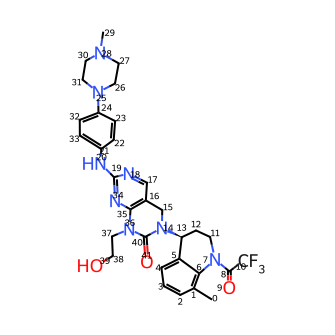 Cc1cccc2c1N(C(=O)C(F)(F)F)CC[C@@H]2N1Cc2cnc(Nc3ccc(N4CCN(C)CC4)cc3)nc2N(CCO)C1=O